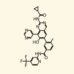 Cc1ccc(C(=O)Nc2cc(C(F)(F)F)ccn2)cc1-c1cc2cnc(NC(=O)C3CC3)nc2c(-c2cncnc2)c1O